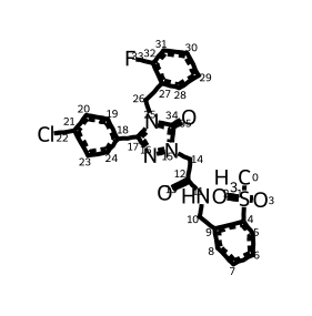 CS(=O)(=O)c1ccccc1CNC(=O)Cn1nc(-c2ccc(Cl)cc2)n(Cc2ccccc2F)c1=O